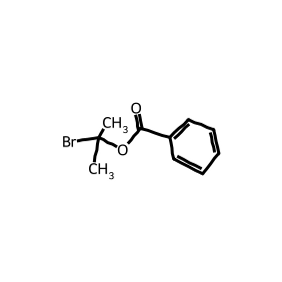 CC(C)(Br)OC(=O)c1ccccc1